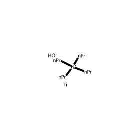 CCC[N+](CCC)(CCC)CCC.[OH-].[Ti]